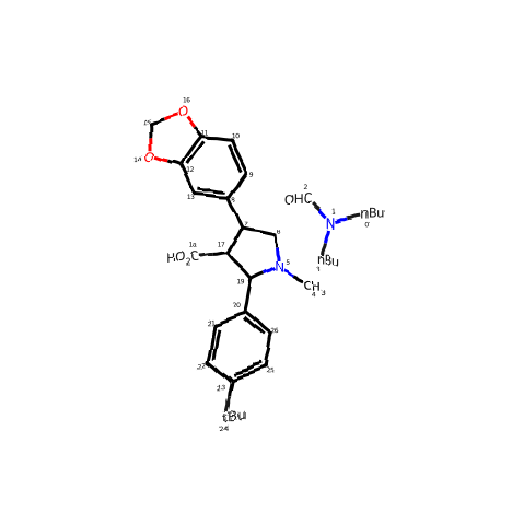 CCCCN(C=O)CCCC.CN1CC(c2ccc3c(c2)OCO3)C(C(=O)O)C1c1ccc(C(C)(C)C)cc1